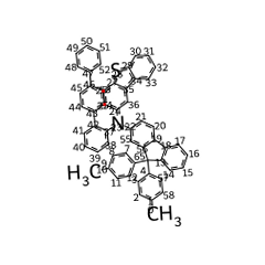 Cc1ccc(C2(c3ccc(C)cc3)c3ccccc3-c3ccc(N(c4ccc5sc6ccccc6c5c4)c4ccccc4-c4ccc(-c5ccccc5)cc4)cc32)cc1